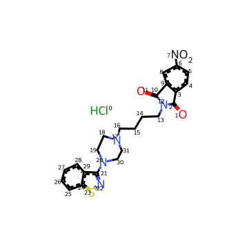 Cl.O=C1c2ccc([N+](=O)[O-])cc2C(=O)N1CCCCN1CCN(c2nsc3ccccc23)CC1